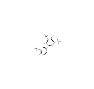 Oc1c(C(F)(F)F)cc2c(sc3c(C(F)(F)F)c(Cl)ccc32)c1C(F)(F)F